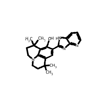 CC1(C)CCN2CCC(C)(C)c3c(O)c(-c4nc5ncccc5[nH]4)cc1c32